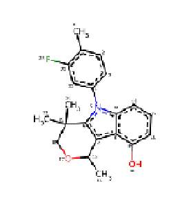 Cc1ccc(-n2c3c(c4c(O)cccc42)C(C)OCC3(C)C)cc1F